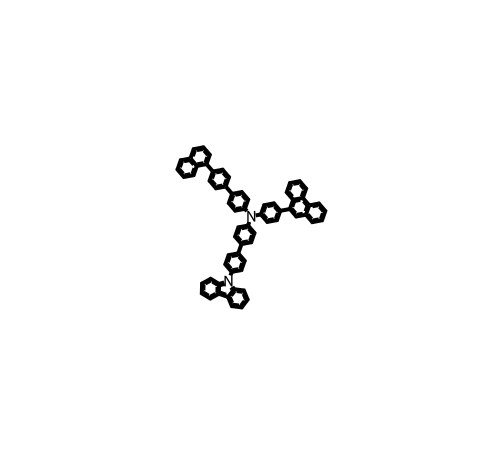 c1ccc2c(-c3ccc(-c4ccc(N(c5ccc(-c6ccc(-n7c8ccccc8c8ccccc87)cc6)cc5)c5ccc(-c6cc7ccccc7c7ccccc67)cc5)cc4)cc3)cccc2c1